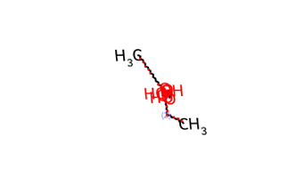 CCCCCCCC/C=C\CCCCCCCC(=O)C(O)(C(O)C(=O)CCCCCCCCCCCCCCCCCCC)C1(O)C(=O)CCC1=O